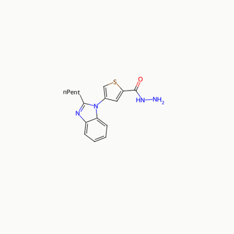 CCCCCc1nc2ccccc2n1-c1csc(C(=O)NN)c1